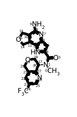 CN(C(=O)c1cc2nc(N)c3c(c2[nH]1)COC3)[C@H]1COCc2cc(C(F)(F)F)cnc21